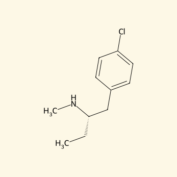 CC[C@@H](Cc1ccc(Cl)cc1)NC